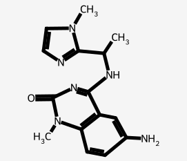 CC(Nc1nc(=O)n(C)c2ccc(N)cc12)c1nccn1C